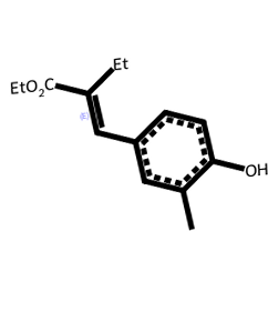 CCOC(=O)/C(=C/c1ccc(O)c(C)c1)CC